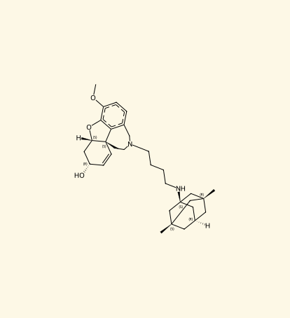 COc1ccc2c3c1O[C@H]1C[C@@H](O)C=C[C@@]31CCN(CCCCN[C@]13C[C@@H]4C[C@@](C)(C[C@@](C)(C4)C1)C3)C2